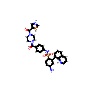 Nc1ccc(S(=O)(=O)Nc2ccc(C(=O)N3CCN(C(=O)c4cncs4)CC3)cc2)c(-c2cccc3cccnc23)c1